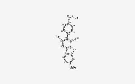 CCCc1ccc2c(c1)Cc1c-2cc(F)c(-c2ccc(OC(F)(F)F)cc2)c1F